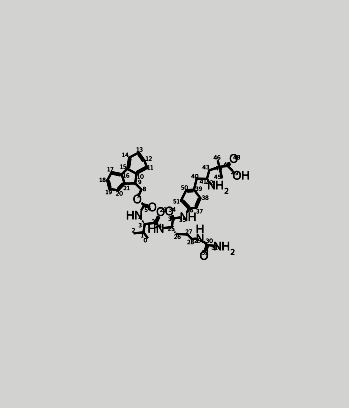 CC(C)[C@H](NC(=O)OCC1c2ccccc2-c2ccccc21)C(=O)N[C@@H](CCCNC(N)=O)C(=O)Nc1ccc(C[C@H](N)CC(C)(C)C(=O)O)cc1